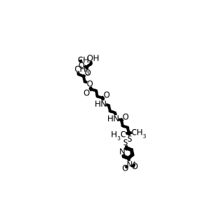 CCC(COC(=O)CCC(=O)NCCCNC(=O)CCC(C)(C)SSc1ccc([N+](=O)[O-])cn1)OC(CO)OC